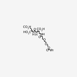 CC(C)C(=O)OCCOCCOCCC(=O)NCC[C@H](NC(=O)N[C@@H](CCC(=O)O)C(=O)O)C(=O)O